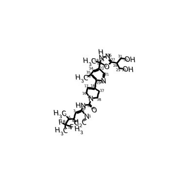 C=N/C(=C\C(C)C(C)C(C)(F)F)NC(=O)N1CC=C(c2ncc(C3(C)NN=C(C(CO)CO)O3)cc2C)CC1